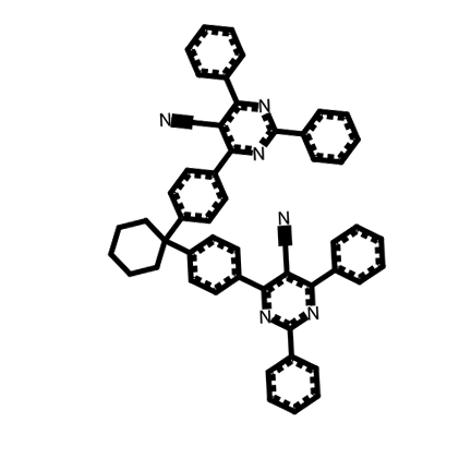 N#Cc1c(-c2ccccc2)nc(-c2ccccc2)nc1-c1ccc(C2(c3ccc(-c4nc(-c5ccccc5)nc(-c5ccccc5)c4C#N)cc3)CCCCC2)cc1